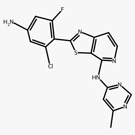 Cc1cc(Nc2nccc3nc(-c4c(F)cc(N)cc4Cl)sc23)ncn1